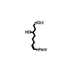 CCCCC/C=C\CCCC(O)CCCCCCCCCC